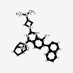 CN(C)C1CN(c2nc(N3CC4CCC(C3)N4C)c3ccc(-c4cccc5ccccc45)c(F)c3n2)C1